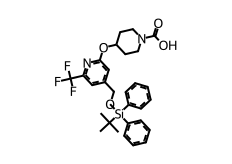 CC(C)(C)[Si](OCc1cc(OC2CCN(C(=O)O)CC2)nc(C(F)(F)F)c1)(c1ccccc1)c1ccccc1